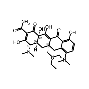 CCN(CC)C[C@@]12Cc3c(N(C)C)ccc(O)c3C(=O)C1=C(O)[C@]1(O)C(=O)C(C(N)=O)=C(O)[C@@H](N(C)C)[C@@H]1C2